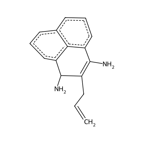 C=CCC1=C(N)c2cccc3cccc(c23)C1N